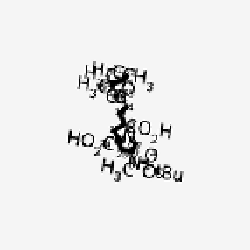 CN(C(=O)OC(C)(C)C)[C@H]1CN(C(=O)O)C(CCCCB2OC(C)(C)C(C)(C)O2)(C(=O)O)C1